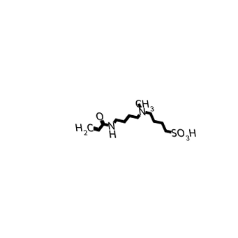 C=CC(=O)NCCCCN(C)CCCCS(=O)(=O)O